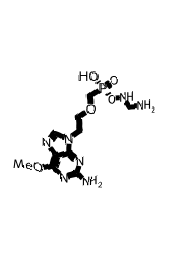 COc1nc(N)nc2c1ncn2CCOCP(=O)(O)ONCN